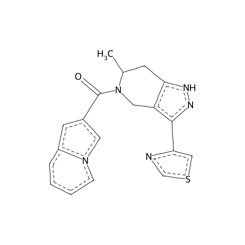 CC1Cc2[nH]nc(-c3cscn3)c2CN1C(=O)c1cc2ccccn2c1